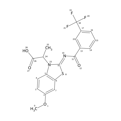 COc1ccc2c(c1)sc(=NC(=O)c1cccc(C(F)(F)F)c1)n2C(C)C(=O)O